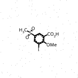 COc1c(I)cc(S(C)(=O)=O)cc1C(=O)O